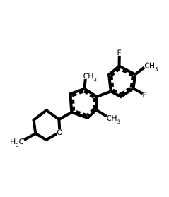 Cc1cc(C2CCC(C)CO2)cc(C)c1-c1cc(F)c(C)c(F)c1